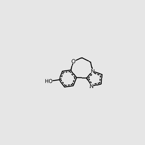 Oc1ccc2c(c1)OCCn1ccnc1-2